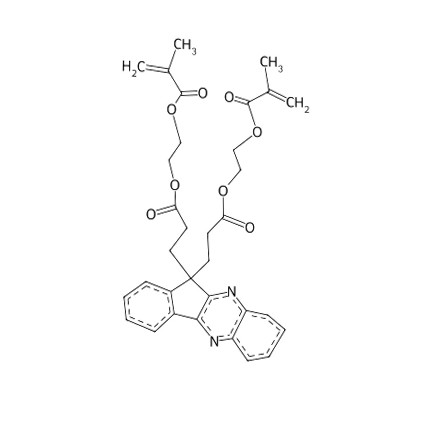 C=C(C)C(=O)OCCOC(=O)CCC1(CCC(=O)OCCOC(=O)C(=C)C)c2ccccc2-c2nc3ccccc3nc21